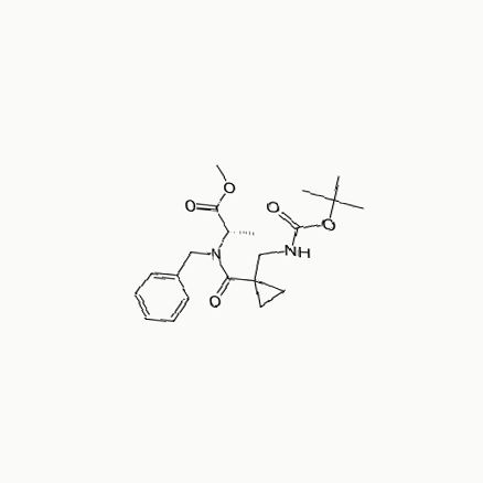 COC(=O)[C@H](C)N(Cc1ccccc1)C(=O)C1(CNC(=O)OC(C)(C)C)CC1